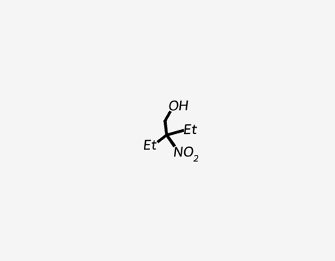 CCC(CC)(CO)[N+](=O)[O-]